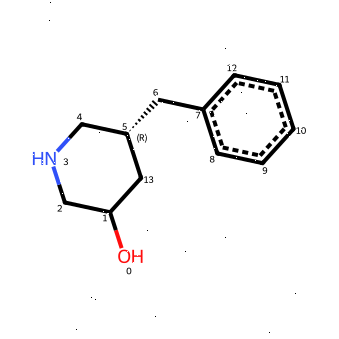 OC1CNC[C@H](Cc2ccccc2)C1